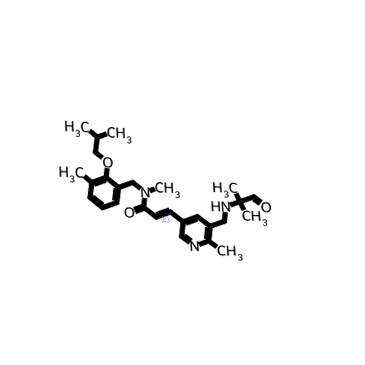 Cc1cccc(CN(C)C(=O)/C=C/c2cnc(C)c(CNC(C)(C)C=O)c2)c1OCC(C)C